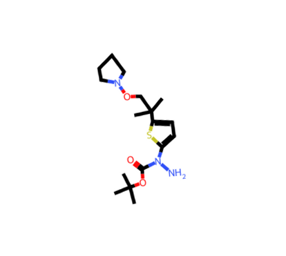 CC(C)(C)OC(=O)N(N)c1ccc(C(C)(C)CON2CCCC2)s1